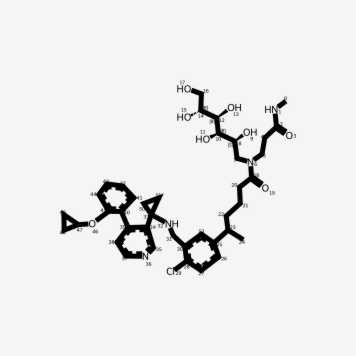 CNC(=O)CCN(C[C@H](O)[C@@H](O)[C@H](O)[C@H](O)CO)C(=O)CCCC(C)c1ccc(Cl)c(CNC2(c3cnccc3-c3ccccc3OC3CC3)CC2)c1